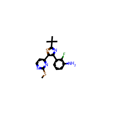 CSc1nccc(-c2sc(C(C)(C)C)nc2-c2cccc(N)c2F)n1